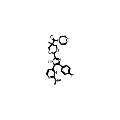 CN(C)c1nccc(-c2[nH]c(C3OCC(C)(C(=O)N4CCOCC4)CO3)nc2-c2ccc(F)cc2)n1